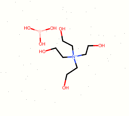 OB(O)O.OCC[N+](CCO)(CCO)CCO